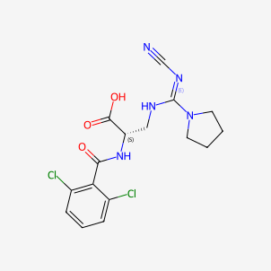 N#C/N=C(\NC[C@H](NC(=O)c1c(Cl)cccc1Cl)C(=O)O)N1CCCC1